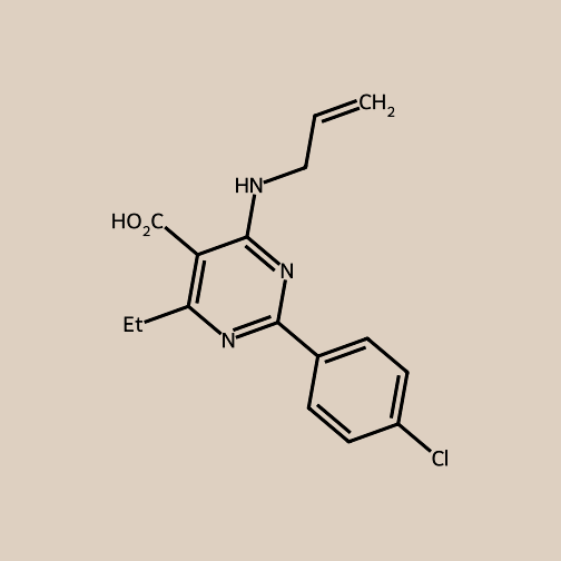 C=CCNc1nc(-c2ccc(Cl)cc2)nc(CC)c1C(=O)O